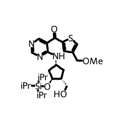 COCc1csc(C(=O)c2cncnc2N[C@@H]2C[C@H](CO)[C@@H](O[Si](C(C)C)(C(C)C)C(C)C)C2)c1